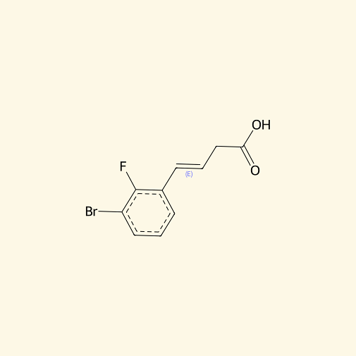 O=C(O)C/C=C/c1cccc(Br)c1F